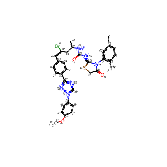 Cc1ccc(C(C)C)c(N2C(=O)CS/C2=N\C(=O)NC(C)C/C(Br)=C\c2ccc(-c3ncn(-c4ccc(OC(F)(F)F)cc4)n3)cc2)c1